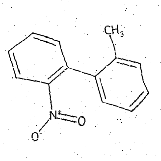 Cc1ccccc1-c1ccc[c]c1[N+](=O)[O-]